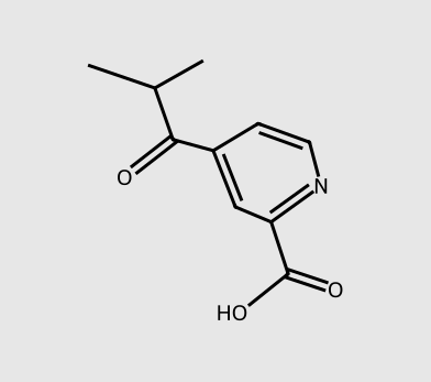 CC(C)C(=O)c1ccnc(C(=O)O)c1